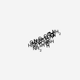 Nc1nc2c(ncn2[C@H](S)[C@@H](O)[P@](=O)(S)OC[C@H]2O[C@@H](n3ccc4c(N)ncnc43)[C@@H](F)C2O[PH](=O)S)c(=O)[nH]1